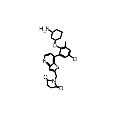 Cc1cc(Cl)cc(-c2ccnc3cc(CN4C(=O)CCC4=O)sc23)c1OC1CCCC(N)C1